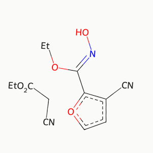 CCOC(=NO)c1occc1C#N.CCOC(=O)CC#N